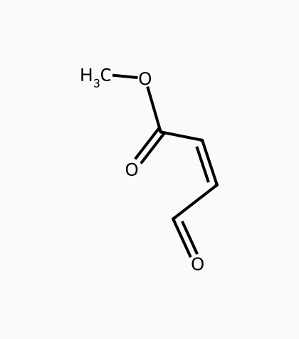 COC(=O)/C=C\C=O